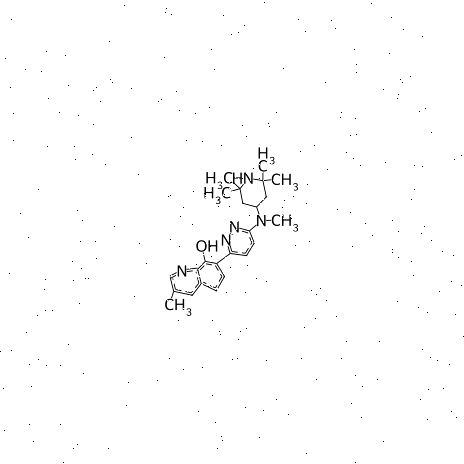 Cc1cnc2c(O)c(-c3ccc(N(C)C4CC(C)(C)NC(C)(C)C4)nn3)ccc2c1